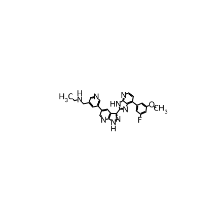 CCNCc1cncc(-c2cnc3[nH]nc(-c4nc5c(-c6cc(F)cc(OC)c6)ccnc5[nH]4)c3c2)c1